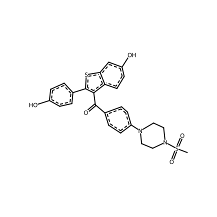 CS(=O)(=O)N1CCN(c2ccc(C(=O)c3c(-c4ccc(O)cc4)sc4cc(O)ccc34)cc2)CC1